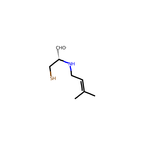 CC(C)=CCN[C@@H]([C]=O)CS